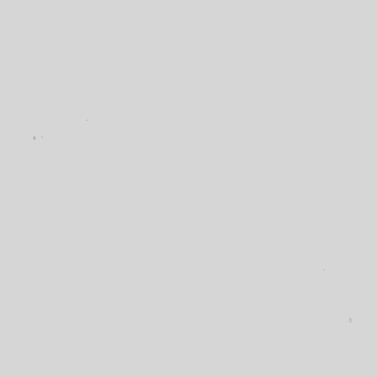 CCCCCCCCCCc1ccccc1C(=S)Oc1ccc(-c2ccc(C(=O)OC(=O)OC(C)CCC)cc2)cc1